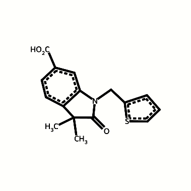 CC1(C)C(=O)N(Cc2cccs2)c2cc(C(=O)O)ccc21